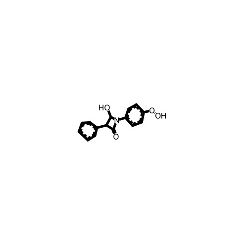 O=C1C(c2ccccc2)C(O)N1c1ccc(OO)cc1